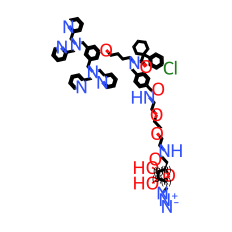 [N-]=[N+]=NC[C@H]1O[C@H](CC(=O)NCCOCCOCCNC(=O)c2ccc(CN(CCCCOc3cc(CN(Cc4ccccn4)Cc4ccccn4)cc(CN(Cc4ccccn4)Cc4ccccn4)c3)C(=O)C3(c4ccc(Cl)cc4)CCCCC3)cc2)[C@H](O)[C@@H]1O